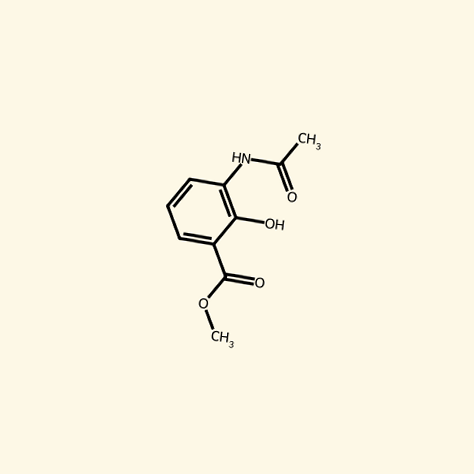 COC(=O)c1cccc(NC(C)=O)c1O